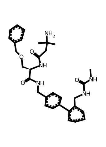 CNC(=O)NCc1ccccc1-c1ccc(CNC(=O)[C@@H](COCc2ccccc2)NC(=O)CC(C)(C)N)cc1